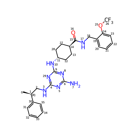 C[C@@H](CNc1nc(N)nc(N[C@H]2CC[C@H](C(=O)NCc3ccccc3OC(F)(F)F)CC2)n1)c1ccccc1